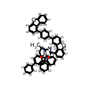 C\C1=C(n2c3ccccc3c3cc(-c4ccccc4)ccc32)/N=C(c2cccc3oc4ccc(-c5ccc(-c6cccc7oc8ccccc8c67)cc5)cc4c23)\N=C(\c2ccccc2)CC1